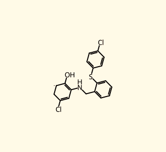 OC1=C(NCc2ccccc2Sc2ccc(Cl)cc2)C=C(Cl)C[CH]1